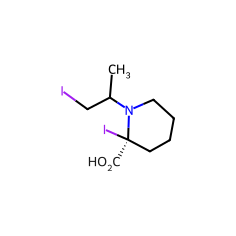 CC(CI)N1CCCC[C@]1(I)C(=O)O